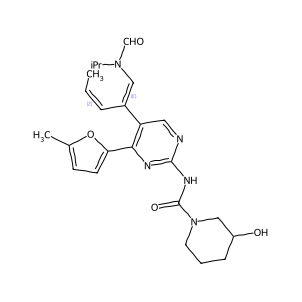 C/C=C\C(=C/N(C=O)C(C)C)c1cnc(NC(=O)N2CCCC(O)C2)nc1-c1ccc(C)o1